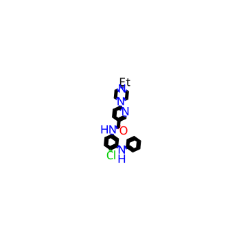 CCN1CCN(c2ccc(C(=O)Nc3ccc(Cl)c(Nc4ccccc4)c3)cn2)CC1